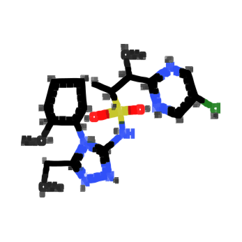 COCc1nnc(NS(=O)(=O)C(C)C(OC)c2ncc(Cl)cn2)n1-c1ccccc1OC